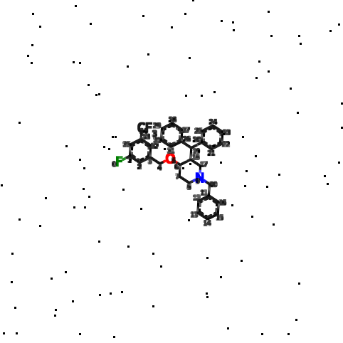 Fc1cc(COC2CCN(Cc3ccccc3)CC2C(c2ccccc2)c2ccccc2)cc(C(F)(F)F)c1